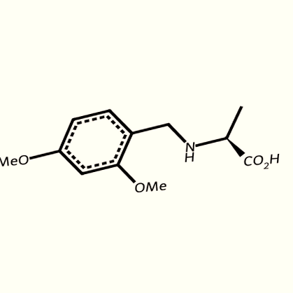 COc1ccc(CN[C@@H](C)C(=O)O)c(OC)c1